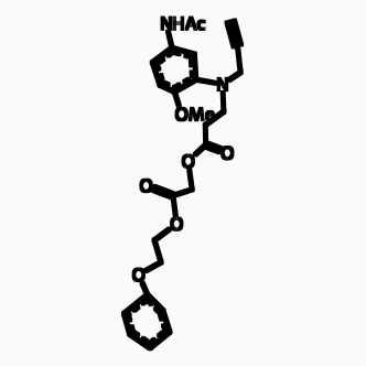 C#CCN(CCC(=O)OCC(=O)OCCOc1ccccc1)c1cc(NC(C)=O)ccc1OC